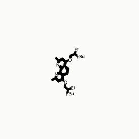 CCCCC(CC)COc1cc(C)nc2c1ccc1c(OCC(CC)CCCC)cc(C)nc12